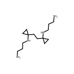 NCCCNC1(CCC2(NCCCN)CC2)CC1